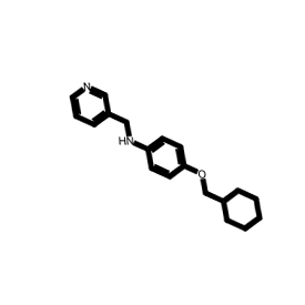 c1cncc(CNc2ccc(OCC3CCCCC3)cc2)c1